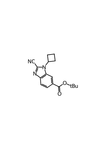 CC(C)(C)OC(=O)c1ccc2nc(C#N)n(C3CCC3)c2c1